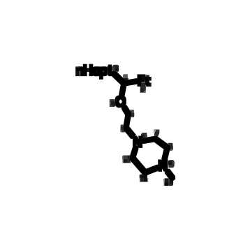 CCCCCCCC(CC)OCCN1CCN(C)CC1